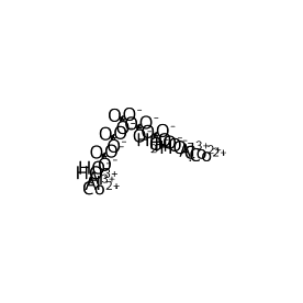 O.O=C([O-])[O-].O=C([O-])[O-].O=C([O-])[O-].O=C([O-])[O-].O=C([O-])[O-].[Al+3].[Al+3].[Al+3].[Co+2].[Co+2].[Co+2].[OH-].[OH-].[OH-].[OH-].[OH-]